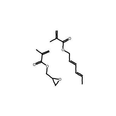 C=C(C)C(=O)OCC1CO1.C=C(C)C(=O)OCC=CC=CC